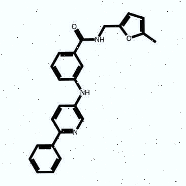 Cc1ccc(CNC(=O)c2cccc(Nc3ccc(-c4ccccc4)nc3)c2)o1